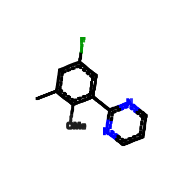 COc1c(C)cc(F)cc1-c1ncccn1